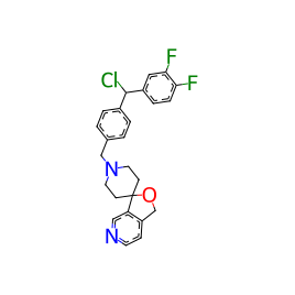 Fc1ccc(C(Cl)c2ccc(CN3CCC4(CC3)OCc3ccncc34)cc2)cc1F